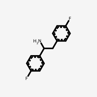 NC(Cc1ccc(F)cc1)c1ccc(F)cc1